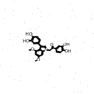 COc1cc(OC)c2c(-c3ccc(O)c(O)c3)cn(CC(=O)c3ccc(O)c(O)c3)c2c1